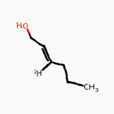 [2H]/C(=C\CO)CCC